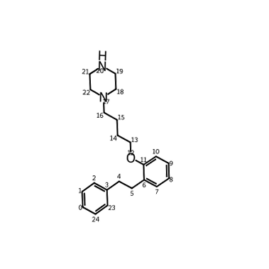 c1ccc(CCc2ccccc2OCCCCN2CCNCC2)cc1